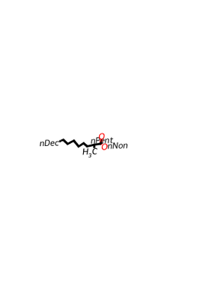 CCCCCCCCCCCCCCCCC(C)(CCCCC)C(=O)OCCCCCCCCC